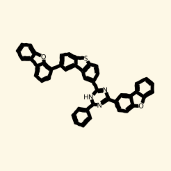 c1ccc(C2N=C(c3ccc4oc5ccccc5c4c3)N=C(c3ccc4sc5ccc(-c6cccc7c6oc6ccccc67)cc5c4c3)N2)cc1